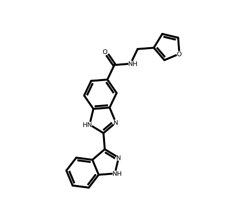 O=C(NCc1ccoc1)c1ccc2[nH]c(-c3n[nH]c4ccccc34)nc2c1